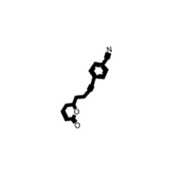 N#Cc1ccc(C#CCCC2CC=CC(=O)O2)cc1